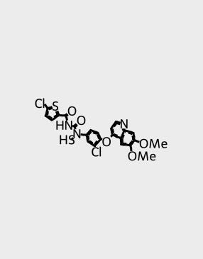 COc1cc2nccc(Oc3ccc(N(S)C(=O)NC(=O)c4ccc(Cl)s4)cc3Cl)c2cc1OC